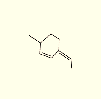 CC=C1C=CC(C)CC1